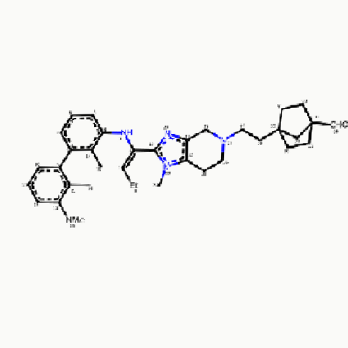 CC/C=C(/Nc1cccc(-c2cccc(NC)c2C)c1C)c1nc2c(n1C)CCN(CCC13CCC(C=O)(CC1)C3)C2